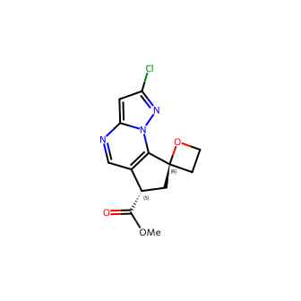 COC(=O)[C@H]1C[C@@]2(CCO2)c2c1cnc1cc(Cl)nn21